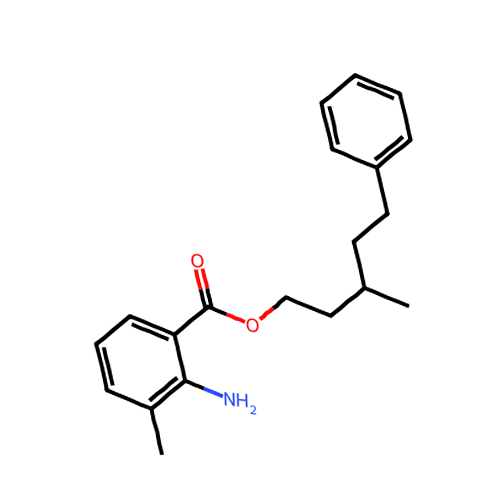 Cc1cccc(C(=O)OCCC(C)CCc2ccccc2)c1N